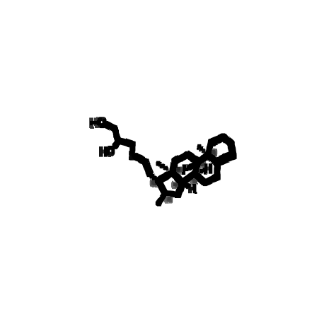 C[C@@H]1C[C@H]2[C@@H]3CCC4=CCC=C[C@]4(C)[C@@]3(F)CC[C@]2(C)[C@H]1CCSCC(O)CO